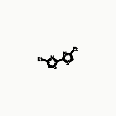 CCc1csc(-c2nc(CC)cs2)n1